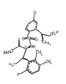 COC(=O)[C@@H](NS(=O)(=O)c1ccc(Cl)cc1C(C)C(=O)O)C(C)c1c(F)ccc(C)c1C